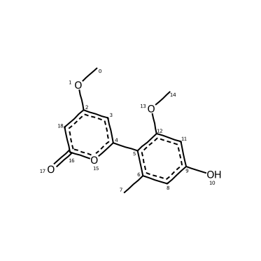 COc1cc(-c2c(C)cc(O)cc2OC)oc(=O)c1